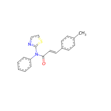 Cc1ccc(/C=C/C(=O)N(c2ccccc2)c2nccs2)cc1